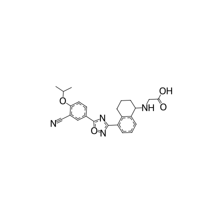 CC(C)Oc1ccc(-c2nc(-c3cccc4c3CCCC4NCC(=O)O)no2)cc1C#N